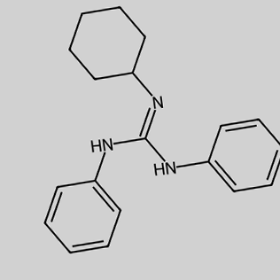 c1ccc(NC(=NC2CCCCC2)Nc2ccccc2)cc1